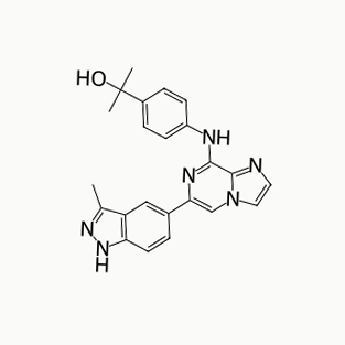 Cc1n[nH]c2ccc(-c3cn4ccnc4c(Nc4ccc(C(C)(C)O)cc4)n3)cc12